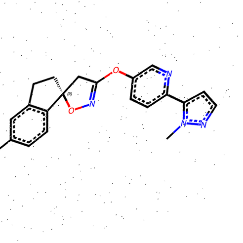 Cc1ccc2c(c1)CC[C@@]21CC(Oc2ccc(-c3ccnn3C)nc2)=NO1